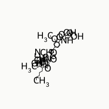 CCCCCC(C(=O)NCNC(=O)c1ccc(-c2ccc(C(=O)NC(CC(=O)O)C(=O)O)c(OCC)c2)o1)C(CC)N(C=O)OC(=O)c1c(C)ccnc1C